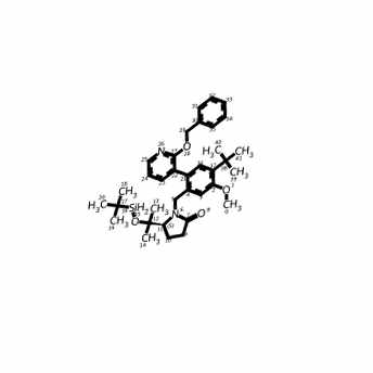 COc1cc(CN2C(=O)CC[C@H]2C(C)(C)O[SiH2]C(C)(C)C)c(-c2cccnc2OCc2ccccc2)cc1C(C)(C)C